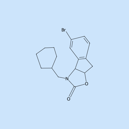 O=C1OC2Cc3ccc(Br)cc3C2N1CC1CCCCC1